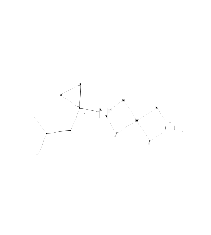 CC(C)CC1(N2CC3(COC3)C2)CC1